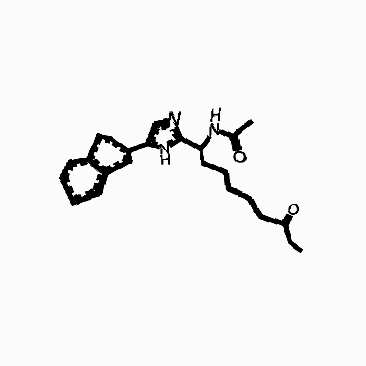 CCC(=O)CCCCC[C@H](NC(C)=O)c1ncc(-c2ccc3ccccc3c2)[nH]1